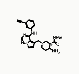 C#Cc1cccc(Nc2ncnn3ccc(CN4CCC(N)[C@H](C(=O)NC)C4)c23)c1